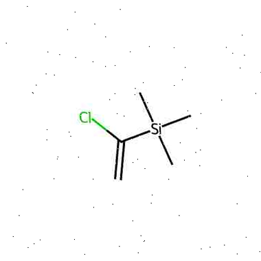 C=C(Cl)[Si](C)(C)C